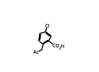 CC(=O)Cc1ccc(Cl)cc1C(=O)O